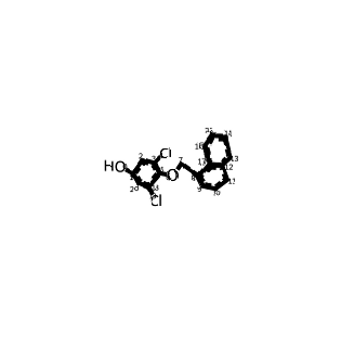 Oc1cc(Cl)c(OCc2cccc3ccccc23)c(Cl)c1